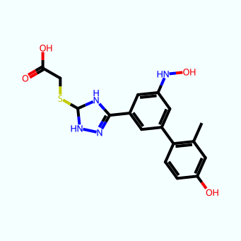 Cc1cc(O)ccc1-c1cc(NO)cc(C2=NNC(SCC(=O)O)N2)c1